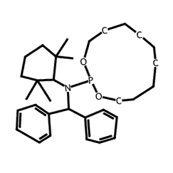 CC1(C)CCCC(C)(C)C1N(C(c1ccccc1)c1ccccc1)P1OCCCCCCCCCO1